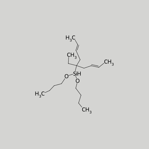 CC=CCC(CC)(CC=CC)[SiH](OCCCC)OCCCC